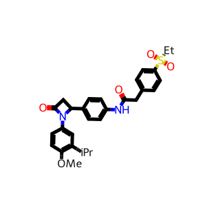 CCS(=O)(=O)c1ccc(CC(=O)Nc2ccc(C3CC(=O)N3c3ccc(OC)c(C(C)C)c3)cc2)cc1